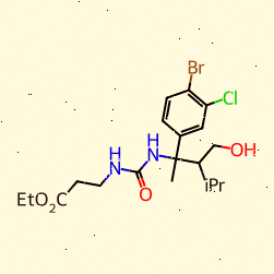 CCOC(=O)CCNC(=O)NC(C)(c1ccc(Br)c(Cl)c1)C(CO)C(C)C